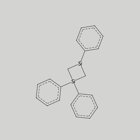 c1ccc([Si]2C[Si](c3ccccc3)(c3ccccc3)C2)cc1